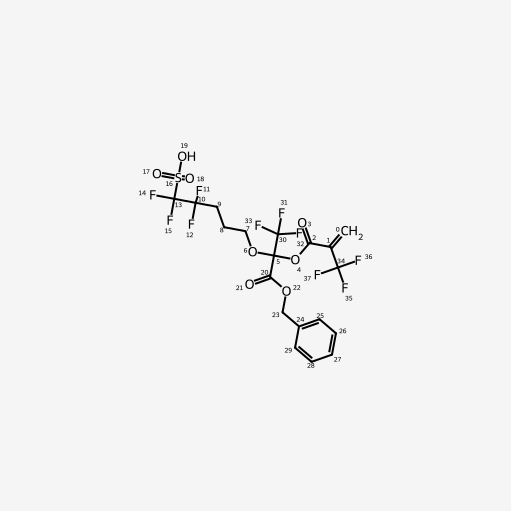 C=C(C(=O)OC(OCCCC(F)(F)C(F)(F)S(=O)(=O)O)(C(=O)OCc1ccccc1)C(F)(F)F)C(F)(F)F